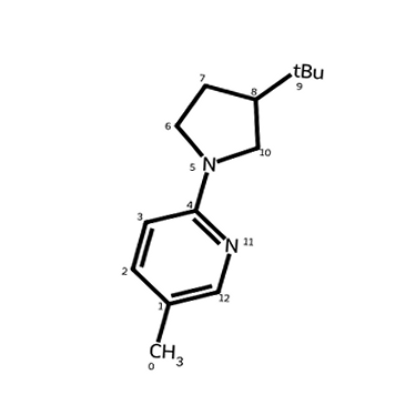 Cc1ccc(N2CCC(C(C)(C)C)C2)nc1